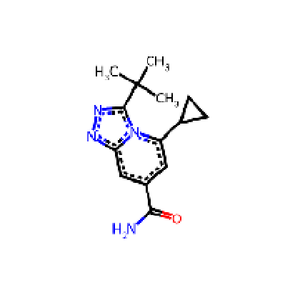 CC(C)(C)c1nnc2cc(C(N)=O)cc(C3CC3)n12